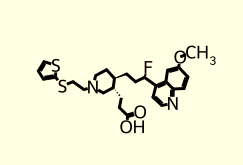 COc1ccc2nccc([C@H](F)CC[C@@H]3CCN(CCSc4cccs4)C[C@H]3CCC(=O)O)c2c1